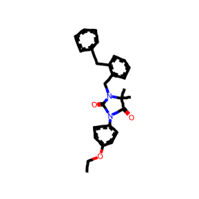 CCOc1ccc(N2C(=O)N(Cc3ccccc3Cc3ccccc3)C(C)(C)C2=O)cc1